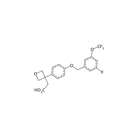 O=C(O)CC1(c2ccc(OCc3cc(F)cc(OC(F)(F)F)c3)cc2)COC1